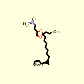 CCCCC/C=C\CC1=CC1CCCCCCCC1(CCCCCCCCCCCC)OCC(CCN(C)C)O1